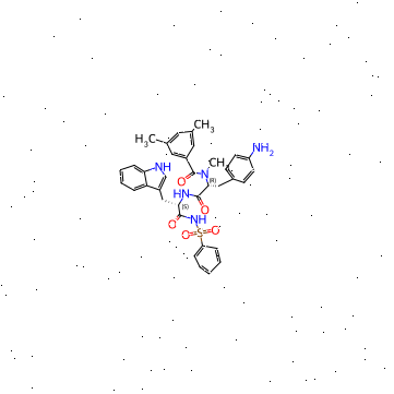 Cc1cc(C)cc(C(=O)N(C)[C@H](Cc2ccc(N)cc2)C(=O)N[C@@H](Cc2c[nH]c3ccccc23)C(=O)NS(=O)(=O)c2ccccc2)c1